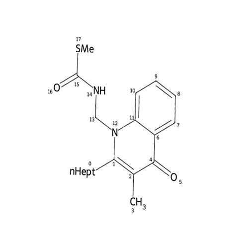 CCCCCCCc1c(C)c(=O)c2ccccc2n1CNC(=O)SC